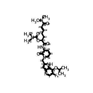 CC(C)Oc1c(F)cnc2cc(Cn3cccc(NC(=O)C(CCC=CC(=O)N(C)C)OC(=O)N(C)C)c3=O)[nH]c12